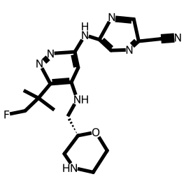 CC(C)(CF)c1nnc(Nc2cnc(C#N)cn2)cc1NC[C@H]1CNCCO1